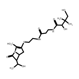 CC(O)C1C(=O)N2C(C(=O)O)=C(SCCNC(=O)CCNC(=O)C(O)C(C)(C)CO)CC12